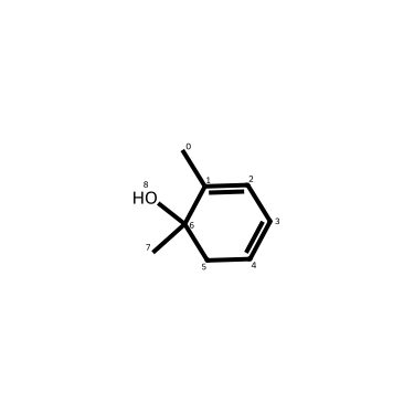 CC1=CC=CCC1(C)O